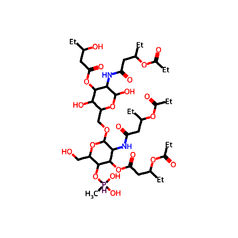 CCC(=O)OC(CC)CC(=O)NC1C(O)OC(COC2OC(CO)C(O[PH](C)(O)O)C(OC(=O)CC(CC)OC(=O)CC)C2NC(=O)CC(CC)OC(=O)CC)C(O)C1OC(=O)CC(O)CC